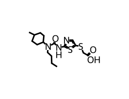 CCCCN(C(=O)Nc1ncc(SCC(=O)O)s1)C1CCC(C)CC1